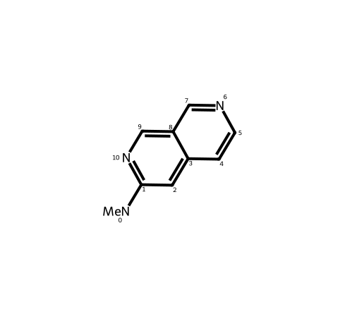 CNc1cc2ccncc2cn1